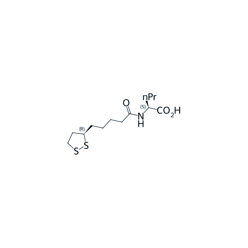 CCC[C@H](NC(=O)CCCC[C@@H]1CCSS1)C(=O)O